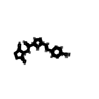 O=C(ON1C(=O)CCC1=O)c1ccc(/C=C/c2ccc(O)cc2)o1